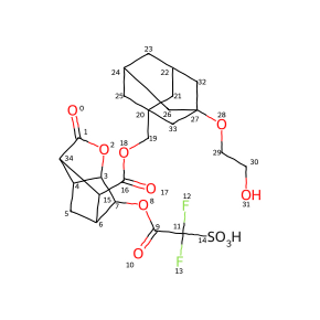 O=C1OC2C3CC(C2OC(=O)C(F)(F)S(=O)(=O)O)C(C(=O)OCC24CC5CC(C2)CC(OCCO)(C5)C4)C13